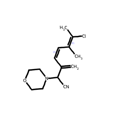 C=C(/C=C\C(C)=C(/C)Cl)C(C#N)N1CCOCC1